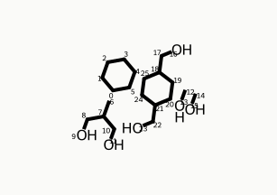 C1CCCCC1.CC(CO)CO.CO.CO.OCC1CCC(CO)CC1